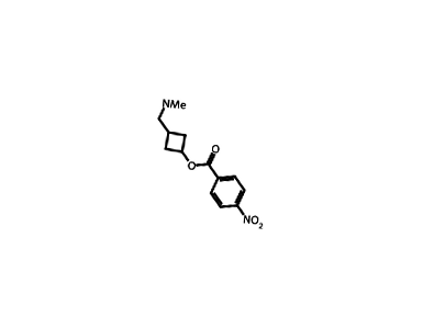 CNCC1CC(OC(=O)c2ccc([N+](=O)[O-])cc2)C1